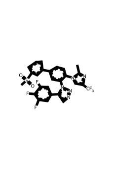 Cc1nc(C(F)(F)F)cn1-c1ccc(-c2cccc(S(C)(=O)=O)c2)cc1-n1nncc1-c1cc(F)c(F)c(F)c1